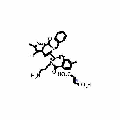 Cc1ccc(C(=O)N(CCCN)[C@@H](c2cc3c(Cl)c(C)nn3c(=O)n2Cc2ccccc2)C(C)C)cc1.O=C(O)/C=C/C(=O)O